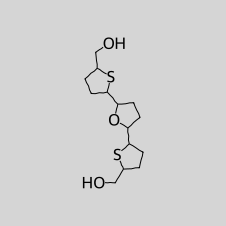 OCC1CCC(C2CCC(C3CCC(CO)S3)O2)S1